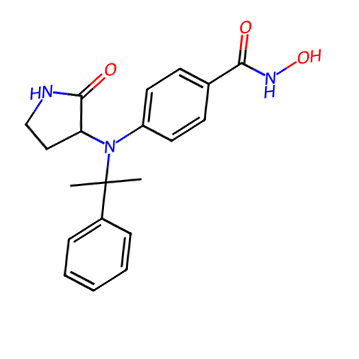 CC(C)(c1ccccc1)N(c1ccc(C(=O)NO)cc1)C1CCNC1=O